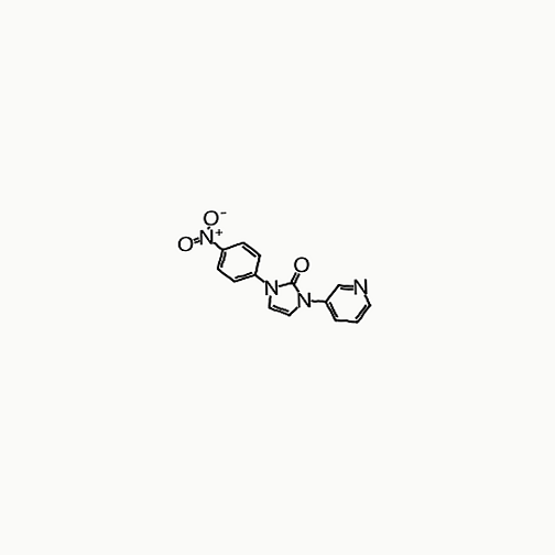 O=c1n(-c2ccc([N+](=O)[O-])cc2)ccn1-c1cccnc1